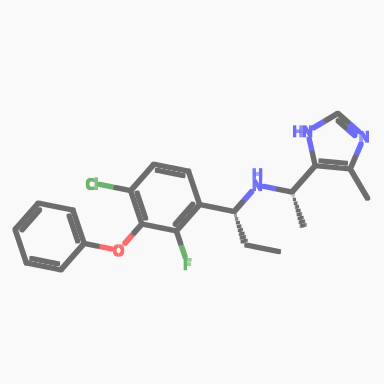 CC[C@@H](N[C@@H](C)c1[nH]cnc1C)c1ccc(Cl)c(Oc2ccccc2)c1F